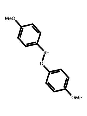 COc1ccc(BOc2ccc(OC)cc2)cc1